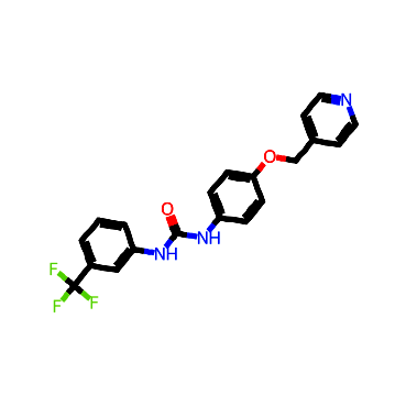 O=C(Nc1ccc(OCc2ccncc2)cc1)Nc1cccc(C(F)(F)F)c1